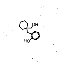 OCC1(Cc2ccccc2O)CCCCC1